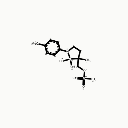 COc1ccc(N2CCC(C)(COS(C)(=O)=O)S2(O)O)cc1